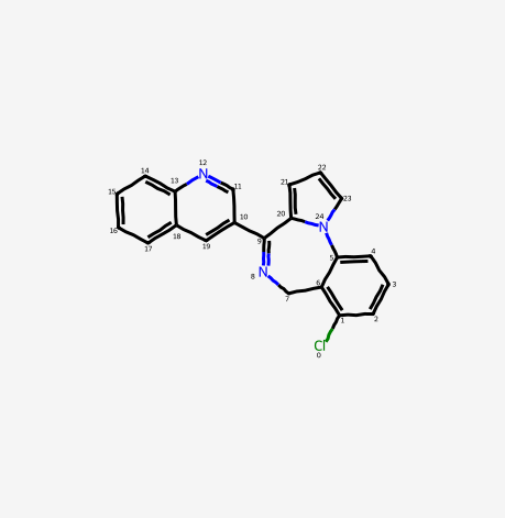 Clc1cccc2c1CN=C(c1cnc3ccccc3c1)c1cccn1-2